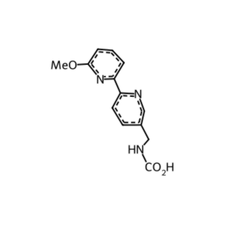 COc1cccc(-c2ccc(CNC(=O)O)cn2)n1